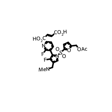 CNCc1cn(S(=O)(=O)c2ccc(COC(C)=O)o2)c(-c2cccnc2F)c1F.O=C(O)/C=C/C(=O)O